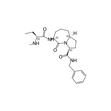 CC[C@H](NC)C(=O)N[C@H]1CCC[C@H]2CC[C@@H](C(=O)NCc3ccccc3)N2C1=O